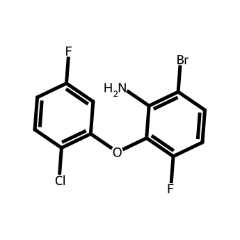 Nc1c(Br)ccc(F)c1Oc1cc(F)ccc1Cl